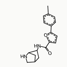 Cc1ccc(-c2ccc(C(=O)NC3CC4CNC3C4)o2)cc1